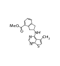 COC(=O)c1cccc2c1CC(Nc1ncnc3scc(C)c13)C2